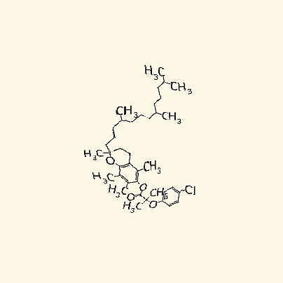 Cc1c(C)c2c(c(C)c1OC(=O)C(C)(C)Oc1ccc(Cl)cc1)CCC(C)(CCCC(C)CCCC(C)CCCC(C)C)O2